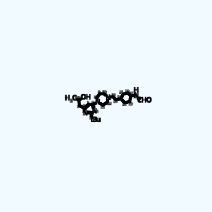 CC(O)Cc1cc(N2CCCN(CCC3CCC(NC=O)CC3)CC2)nc(C(C)(C)C)n1